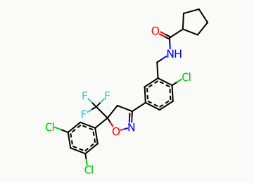 O=C(NCc1cc(C2=NOC(c3cc(Cl)cc(Cl)c3)(C(F)(F)F)C2)ccc1Cl)C1CCCC1